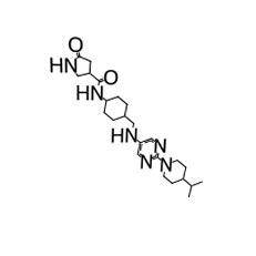 CC(C)C1CCN(c2ncc(NCC3CCC(NC(=O)C4CNC(=O)C4)CC3)cn2)CC1